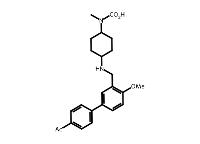 COc1ccc(-c2ccc(C(C)=O)cc2)cc1CNC1CCC(N(C)C(=O)O)CC1